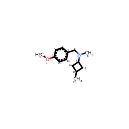 COc1ccc(CN(C)C2CC(C)C2)cc1